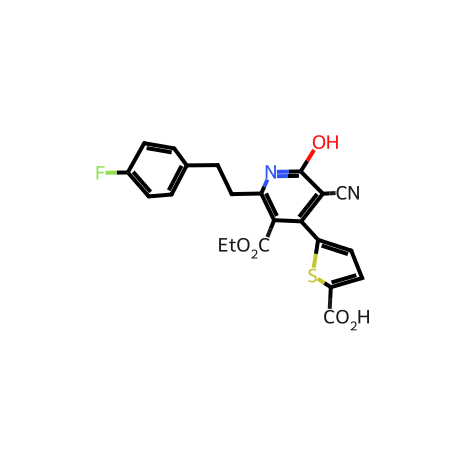 CCOC(=O)c1c(CCc2ccc(F)cc2)nc(O)c(C#N)c1-c1ccc(C(=O)O)s1